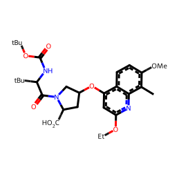 CCOc1cc(OC2CC(C(=O)O)N(C(=O)C(NC(=O)OC(C)(C)C)C(C)(C)C)C2)c2ccc(OC)c(C)c2n1